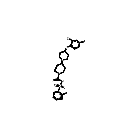 O=C(NS(=O)(=O)c1ccccc1Cl)N1CCC(N2CCC(Oc3ccc(F)cc3Cl)CC2)CC1